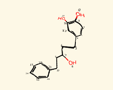 Oc1ccc(CCC(O)CCc2ccccc2)cc1O